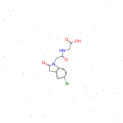 O=C(O)CNC(=O)CN1C(=O)Cc2cc(Br)ccc21